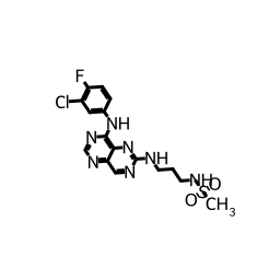 CS(=O)(=O)NCCCNc1ncc2ncnc(Nc3ccc(F)c(Cl)c3)c2n1